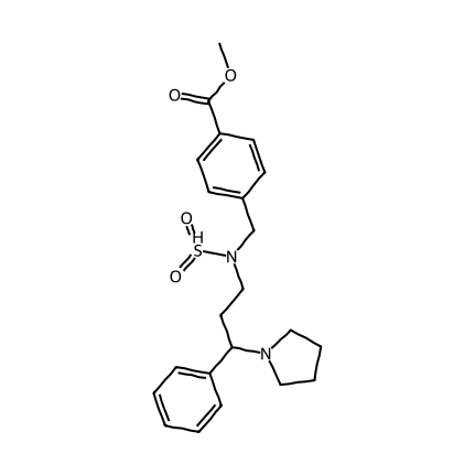 COC(=O)c1ccc(CN(CCC(c2ccccc2)N2CCCC2)[SH](=O)=O)cc1